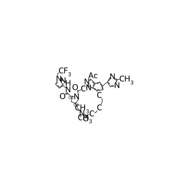 CC(=O)c1nn2c3c(cc(-c4cnc(C)nc4)cc13)CCCCCCC(=O)N(C)C[C@]1(C)C[C@@H](C(=O)Nc3ccn(CC(F)(F)F)n3)N(C1)C(=O)C2